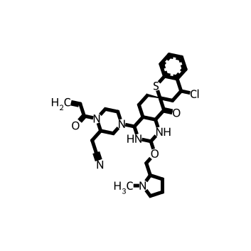 C=CC(=O)N1CCN(C2NC(OCC3CCCN3C)NC3C(=O)[C@@]4(CCC32)CC(Cl)c2ccccc2S4)CC1CC#N